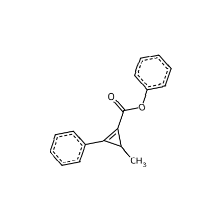 CC1C(C(=O)Oc2ccccc2)=C1c1ccccc1